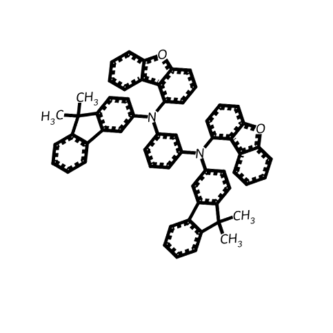 CC1(C)c2ccccc2-c2cc(N(c3cccc(N(c4ccc5c(c4)-c4ccccc4C5(C)C)c4cccc5oc6ccccc6c45)c3)c3cccc4oc5ccccc5c34)ccc21